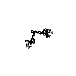 CC(C)CC1(C)OCC(COCCC(=O)OCC2COC(C)(CC(C)C)O2)O1